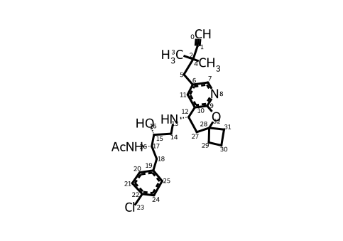 C#CC(C)(C)Cc1cnc2c(c1)[C@@H](NC[C@@H](O)[C@H](Cc1ccc(Cl)cc1)NC(C)=O)CC1(CCC1)O2